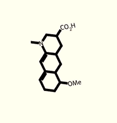 COC1CCC=C2C=C3C(CC(C(=O)O)CN3C)CC21